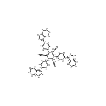 N#Cc1c(-c2ccc(-n3ccc4c3CCC=C4)cc2)c(C#N)c(-c2ccc(-n3ccc4ccccc43)cc2)c(C#N)c1-c1ccc(-n2ccc3ccccc32)cc1